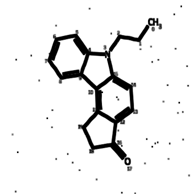 CCCn1c2ccccc2c2c3c(ccc21)C(=O)CC3